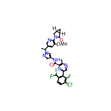 COc1cc(C(C)n2cc(NC(=O)c3nc(-c4c(C(F)F)ccc(Cl)c4F)cnc3C)cn2)cnc1N1C[C@H]2C[C@H]2C1=O